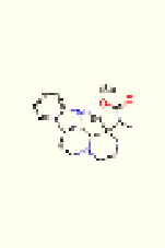 CCC1(C(C)C(=O)OC(C)(C)C)CCCN2CCc3c([nH]c4ccccc34)C21